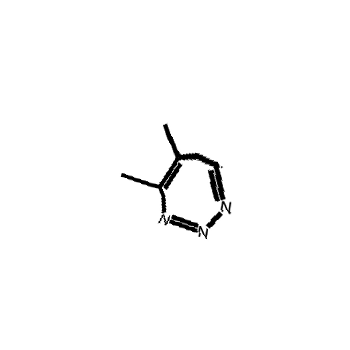 Cc1[c]nnnc1C